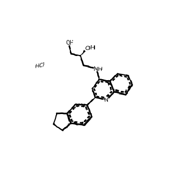 Cl.OC[C@@H](O)CNc1cc(-c2ccc3c(c2)CCC3)nc2ccccc12